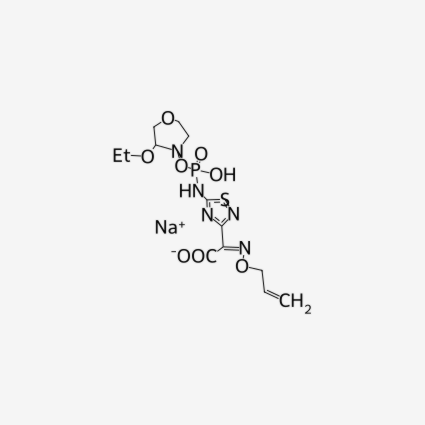 C=CCON=C(C(=O)[O-])c1nsc(NP(=O)(O)ON2CCOCC2OCC)n1.[Na+]